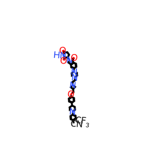 N#Cc1ccc(N2CCC(c3ccc(OCC4CN(CCN5CCN(c6ccc7c(c6)CN(C6CCC(=O)NC6=O)C7=O)CC5)C4)cc3)CC2)cc1C(F)(F)F